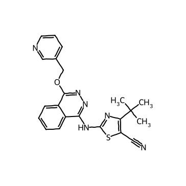 CC(C)(C)c1nc(Nc2nnc(OCc3cccnc3)c3ccccc23)sc1C#N